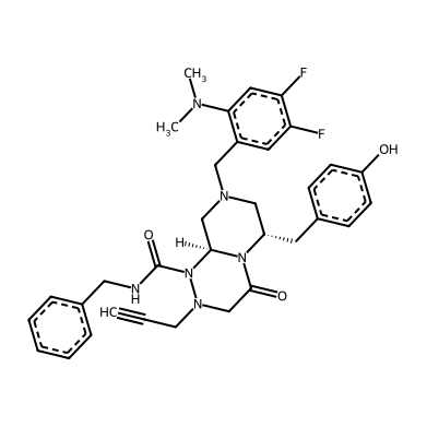 C#CCN1CC(=O)N2[C@@H](Cc3ccc(O)cc3)CN(Cc3cc(F)c(F)cc3N(C)C)C[C@@H]2N1C(=O)NCc1ccccc1